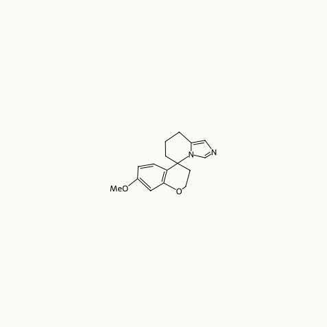 COc1ccc2c(c1)OCCC21CCCc2cncn21